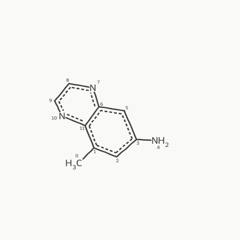 Cc1cc(N)cc2nccnc12